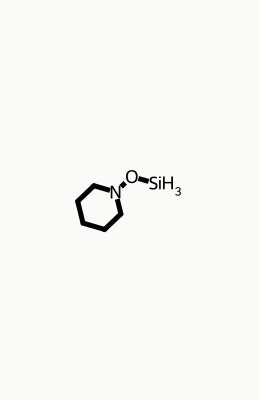 [SiH3]ON1CCCCC1